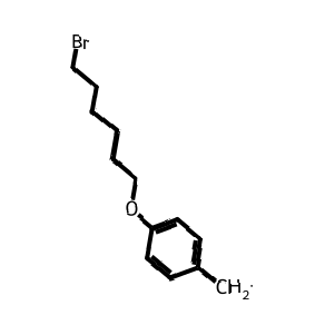 [CH2]c1ccc(OCCCCCCBr)cc1